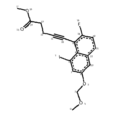 COCOc1cc(I)c2c(C#CCCC(=O)OC)c(F)ccc2c1